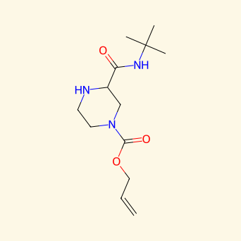 C=CCOC(=O)N1CCNC(C(=O)NC(C)(C)C)C1